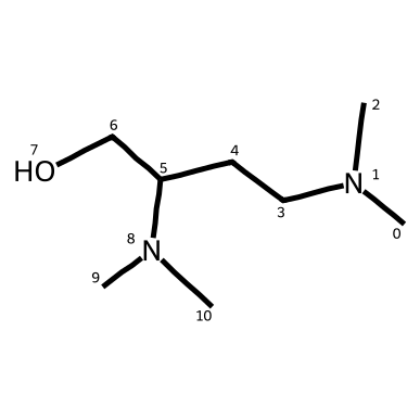 CN(C)CCC(CO)N(C)C